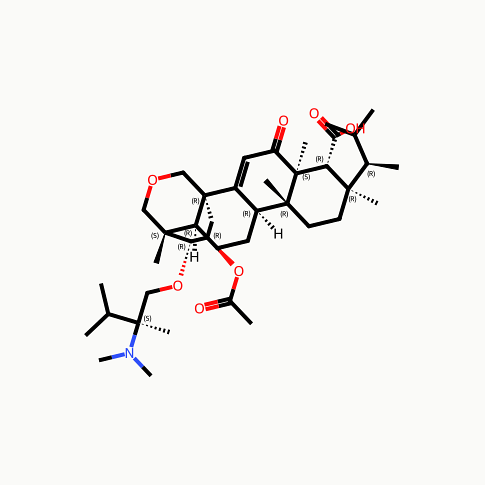 CC(=O)O[C@@H]1C[C@@]23COC[C@](C)([C@@H]2CC[C@H]2C3=CC(=O)[C@@]3(C)[C@H](C(=O)O)[C@@](C)([C@H](C)C(C)C)CC[C@]23C)[C@H]1OC[C@](C)(C(C)C)N(C)C